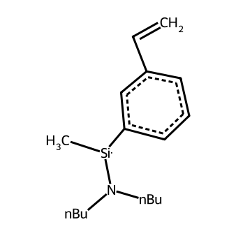 C=Cc1cccc([Si](C)N(CCCC)CCCC)c1